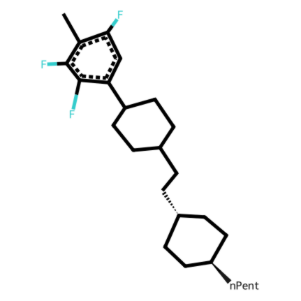 CCCCC[C@H]1CC[C@H](CCC2CCC(c3cc(F)c(C)c(F)c3F)CC2)CC1